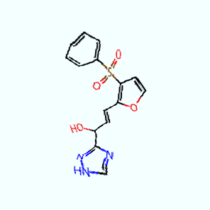 O=S(=O)(c1ccccc1)c1ccoc1C=CC(O)c1nc[nH]n1